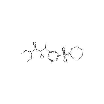 CCN(CC)C(=O)C1Oc2ccc(S(=O)(=O)N3CCCCCC3)cc2C1C